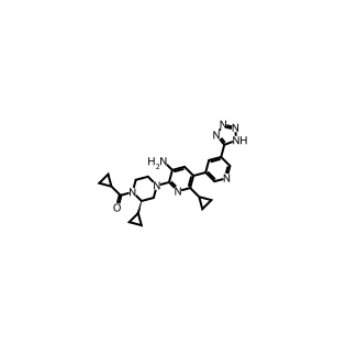 Nc1cc(-c2cncc(-c3nnn[nH]3)c2)c(C2CC2)nc1N1CCN(C(=O)C2CC2)[C@H](C2CC2)C1